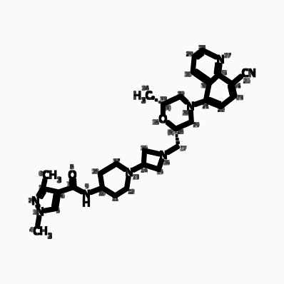 Cc1nn(C)cc1C(=O)NC1CCN(C2CN(C[C@H]3CN(c4ccc(C#N)c5ncccc45)C[C@@H](C)O3)C2)CC1